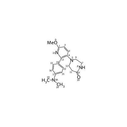 COc1ccc(N2CCNC(=O)CC2)c(-c2ccc(N(C)C)cc2)n1